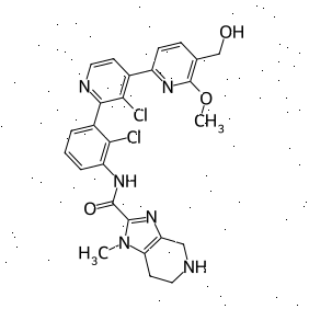 COc1nc(-c2ccnc(-c3cccc(NC(=O)c4nc5c(n4C)CCNC5)c3Cl)c2Cl)ccc1CO